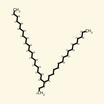 [CH2]CCC(CCCCCCCCCCCCCCCCC)CCCCCCCCCCCCCCCCCCCC